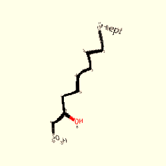 CCCCCCCCCCCCCC(O)CS(=O)(=O)O